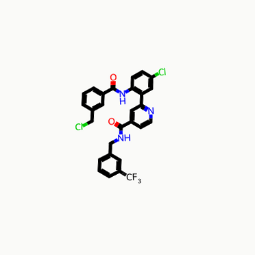 O=C(NCc1cccc(C(F)(F)F)c1)c1ccnc(-c2cc(Cl)ccc2NC(=O)c2cccc(CCl)c2)c1